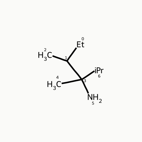 CCC(C)C(C)(N)C(C)C